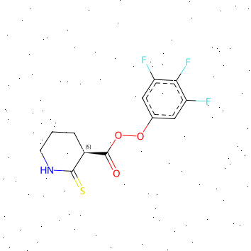 O=C(OOc1cc(F)c(F)c(F)c1)[C@@H]1CCCNC1=S